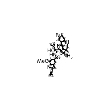 COc1cc(C(=O)NCC(O)(c2cc3c(c(-c4cc(F)ccc4Cl)n2)OC[C@]3(C)C(N)=O)C2CC2)cc2cn(C3CC3)nc12